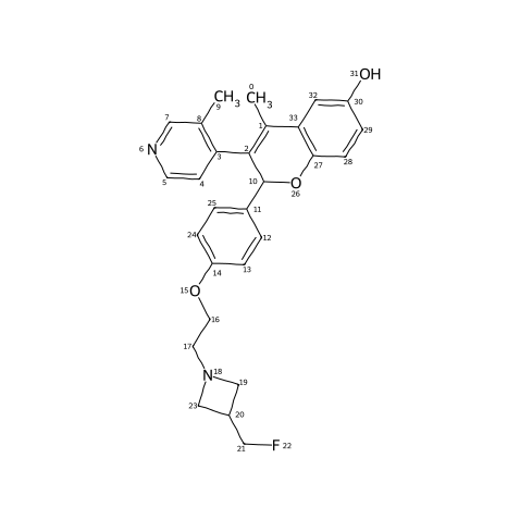 CC1=C(c2ccncc2C)C(c2ccc(OCCN3CC(CF)C3)cc2)Oc2ccc(O)cc21